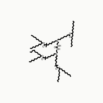 CCCCCCCCC(CCCCCCCC)OC(=O)CCCCCCCN(CCCCCCC(C)(C)C(=O)OC(CCCCCCCC)CCCCCCCC)CCNC(=O)NCCN(CCCCCCC(C)(C)C(=O)OC(CCCCCCCC)CCCCCCCC)CCCCCCC(C)(C)C(=O)OC(CCCCCCCC)CCCCCCCC